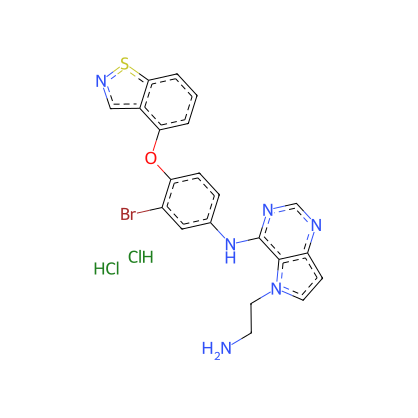 Cl.Cl.NCCn1ccc2ncnc(Nc3ccc(Oc4cccc5sncc45)c(Br)c3)c21